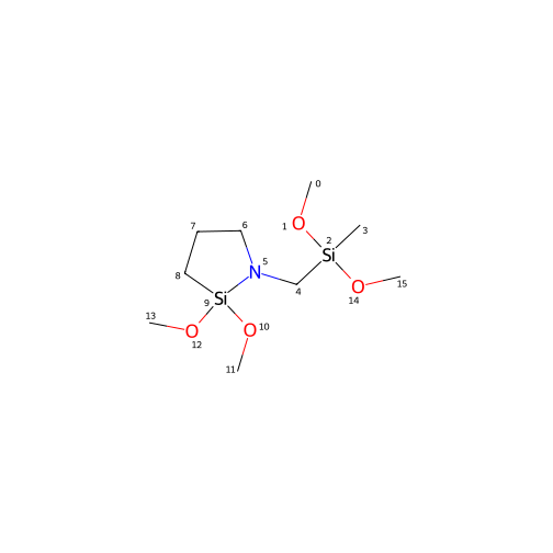 CO[Si](C)(CN1CCC[Si]1(OC)OC)OC